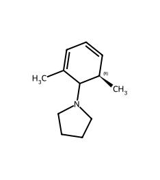 CC1=CC=C[C@@H](C)C1N1CCCC1